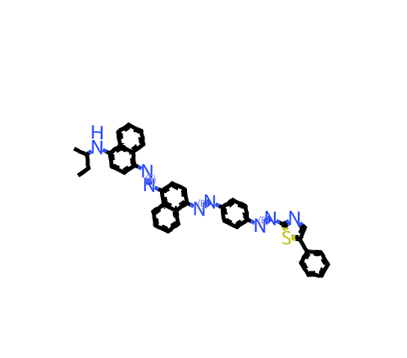 CCC(C)Nc1ccc(/N=N/c2ccc(/N=N/c3ccc(/N=N/c4ncc(-c5ccccc5)s4)cc3)c3ccccc23)c2ccccc12